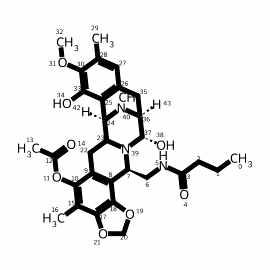 CCCC(=O)NC[C@H]1c2c(c(OC(C)=O)c(C)c3c2OCO3)CC2[C@H]3c4c(cc(C)c(OC)c4O)C[C@@H]([C@H](O)N21)N3C